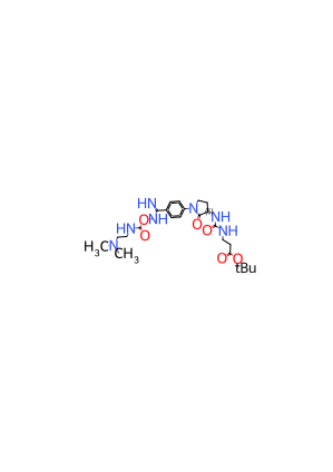 CN(C)CCNC(=O)ONC(=N)c1ccc(N2CC[C@H](NC(=O)NCCC(=O)OC(C)(C)C)C2=O)cc1